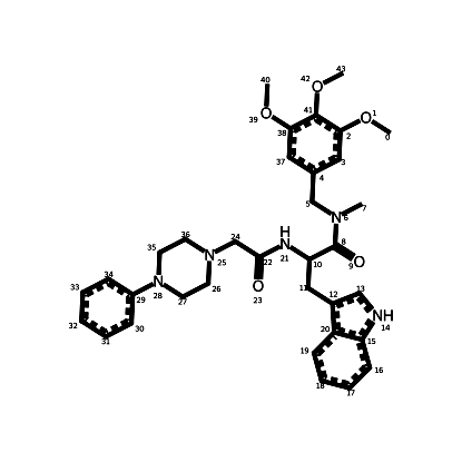 COc1cc(CN(C)C(=O)C(Cc2c[nH]c3ccccc23)NC(=O)CN2CCN(c3ccccc3)CC2)cc(OC)c1OC